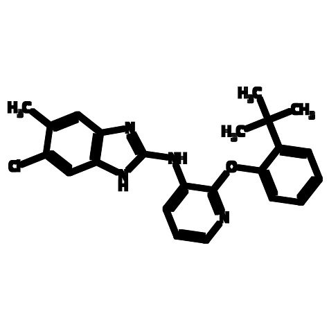 Cc1cc2nc(Nc3cccnc3Oc3ccccc3C(C)(C)C)[nH]c2cc1Cl